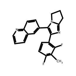 Cc1c(F)ccc(-c2nc3n(c2-c2ccc4ncccc4c2)CCC3)c1F